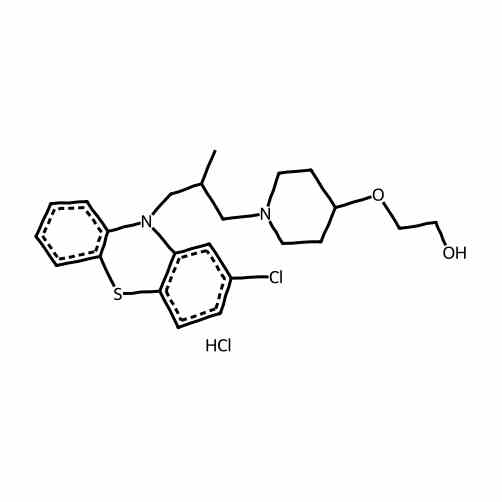 CC(CN1CCC(OCCO)CC1)CN1c2ccccc2Sc2ccc(Cl)cc21.Cl